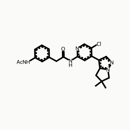 CC(=O)Nc1cccc(CC(=O)Nc2cc(-c3cnn4c3CC(C)(C)C4)c(Cl)cn2)c1